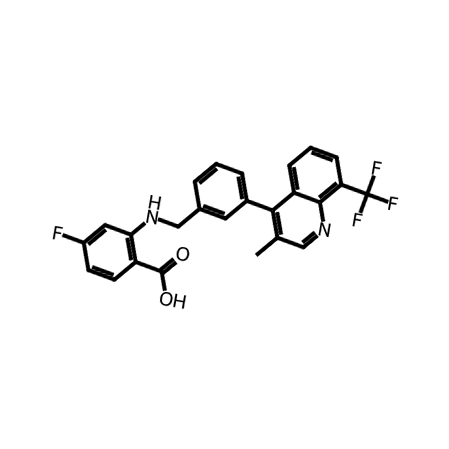 Cc1cnc2c(C(F)(F)F)cccc2c1-c1cccc(CNc2cc(F)ccc2C(=O)O)c1